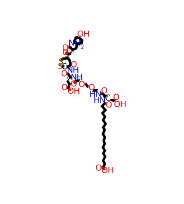 NC(=O)[C@@H](CC(=O)[C@@H]1CSSC[C@H](NC(=O)[C@H](CCC(=O)O)NC(=O)COCCOCCNC(=O)[C@H](CCC(=O)O)NC(=O)CCCCCCCCCCCCCCCCCCC(=O)O)C(=O)C1)Cc1ccc(O)cc1